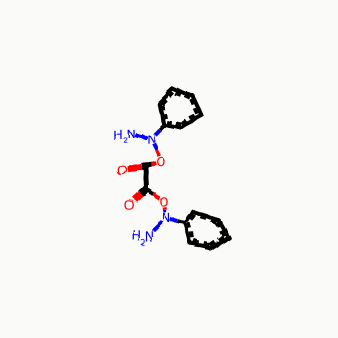 NN(OC(=O)C(=O)ON(N)c1ccccc1)c1ccccc1